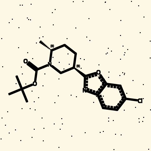 C[C@@H]1CC[C@@H](c2nc3ccc(Cl)cc3o2)CN1C(=O)OC(C)(C)C